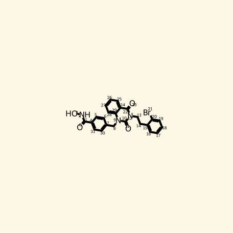 O=C(NO)c1ccc(Cn2c(=O)n(CCc3ccccc3Br)c(=O)c3ccccc32)cc1